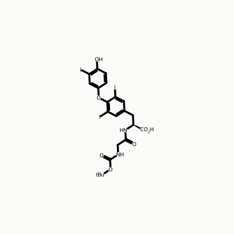 CC(C)(C)OC(=O)NCC(=O)N[C@@H](Cc1cc(I)c(Oc2ccc(O)c(I)c2)c(I)c1)C(=O)O